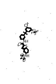 COc1cc(OC(F)(F)F)cc(C(C)(C)c2cccc(NC(=O)c3cc4cc(NS(C)(=O)=O)ccc4s3)c2)c1